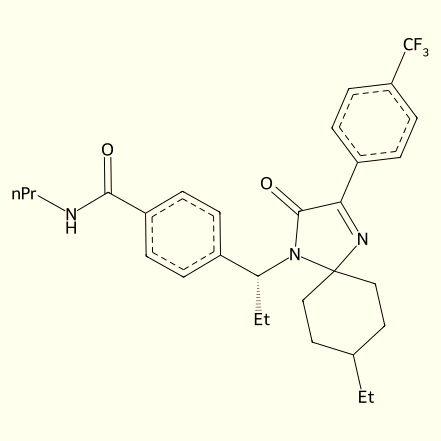 CCCNC(=O)c1ccc([C@@H](CC)N2C(=O)C(c3ccc(C(F)(F)F)cc3)=NC23CCC(CC)CC3)cc1